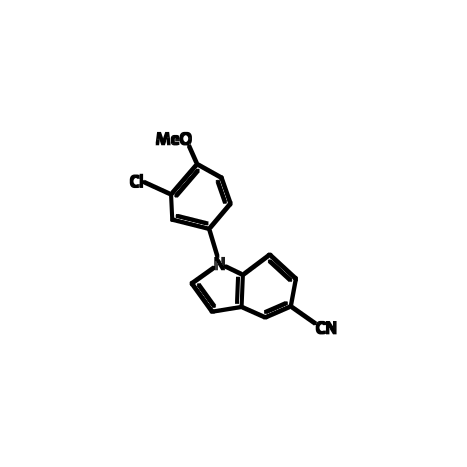 COc1ccc(-n2ccc3cc(C#N)ccc32)cc1Cl